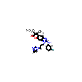 Cc1c(C(=O)O)c(=O)oc2cc3c(cc12)nc(Nc1cccc(F)c1)n3CCCn1ccnc1